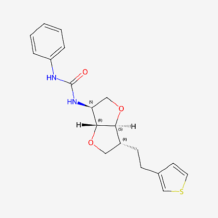 O=C(Nc1ccccc1)N[C@H]1CO[C@H]2[C@H](CCc3ccsc3)CO[C@@H]21